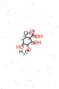 COC1C(O)CC(C)C(C(=O)O)C1O